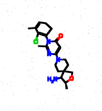 CC1=CCCC(n2c(C)nc(N3CCC4(CC3)CO[C@@H](C)[C@H]4N)cc2=O)=C1Cl